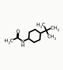 [CH2]C(=O)NC1CCC(C(C)(C)C)CC1